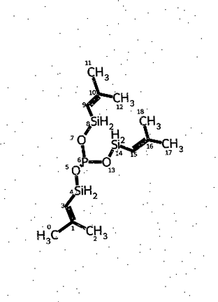 CC(C)=C[SiH2]OP(O[SiH2]C=C(C)C)O[SiH2]C=C(C)C